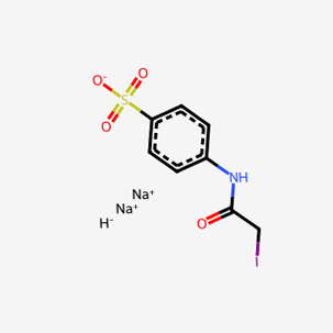 O=C(CI)Nc1ccc(S(=O)(=O)[O-])cc1.[H-].[Na+].[Na+]